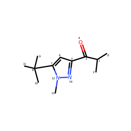 CC(C)C(=O)c1cc(C(C)(C)C)n(C)n1